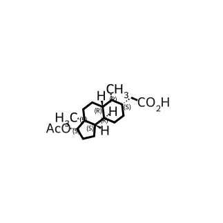 CC(=O)O[C@H]1CC[C@H]2[C@@H]3CC[C@@H](CC(=O)O)[C@@H](C)[C@H]3CC[C@]12C